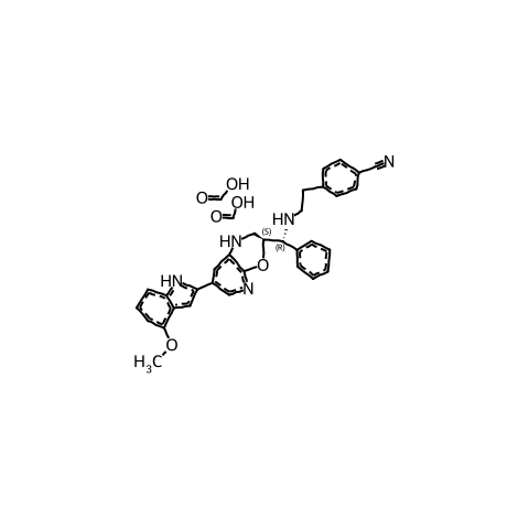 COc1cccc2[nH]c(-c3cnc4c(c3)NC[C@@H]([C@H](NCCc3ccc(C#N)cc3)c3ccccc3)O4)cc12.O=CO.O=CO